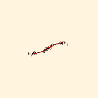 C=CC(=O)OCCCCCCCCCCCOc1ccc(C(=O)Oc2ccc(OC(=O)c3ccc(OCCCCCCCCCCCOC(=O)C=C)cc3)cc2)cc1